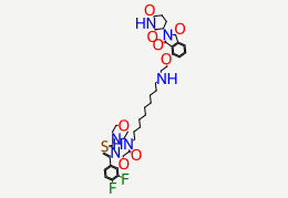 O=C(COc1c(-c2csc(N3CCOCC3)n2)ccc(F)c1F)NCCCCCCCCCCNCCOc1cccc2c1C(=O)N(C1CCC(=O)NC1=O)C2=O